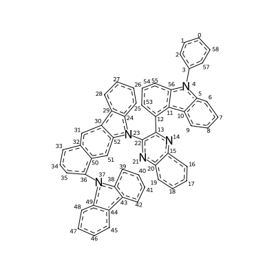 c1ccc(-n2c3ccccc3c3c(-c4nc5ccccc5nc4-n4c5ccccc5c5cc6cccc(-n7c8ccccc8c8ccccc87)c6cc54)cccc32)cc1